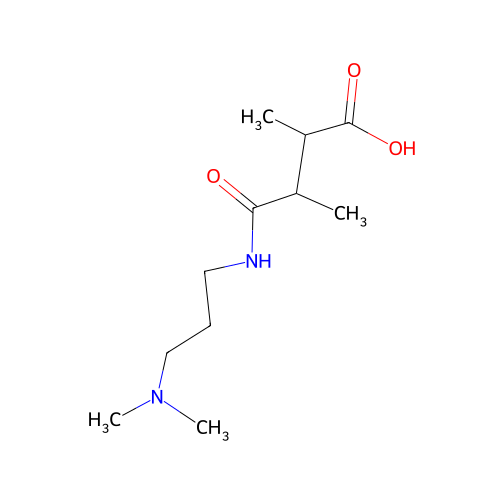 CC(C(=O)O)C(C)C(=O)NCCCN(C)C